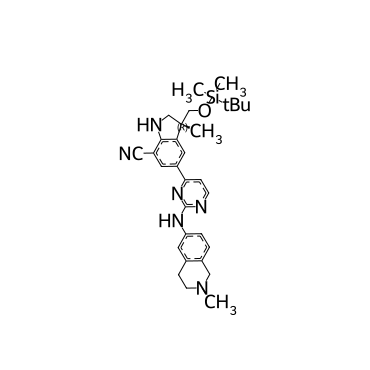 CN1CCc2cc(Nc3nccc(-c4cc(C#N)c5c(c4)[C@@](C)(CO[Si](C)(C)C(C)(C)C)CN5)n3)ccc2C1